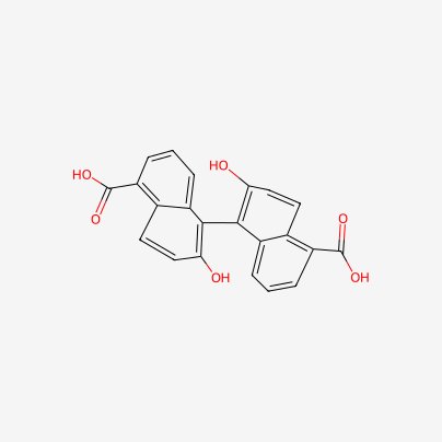 O=C(O)c1cccc2c(-c3c(O)ccc4c(C(=O)O)cccc34)c(O)ccc12